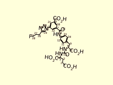 O=C(O)CCC(NC(=O)N[C@@H](Cc1ccc(NC(=O)c2cc(C(=O)O)cc(-n3cc(CCCF)nn3)c2)cc1)C(=O)O)C(=O)O